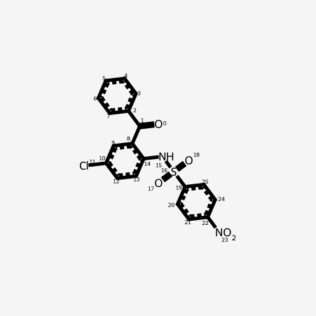 O=C(c1ccccc1)c1cc(Cl)ccc1NS(=O)(=O)c1ccc([N+](=O)[O-])cc1